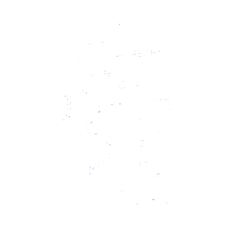 N#Cc1c(Cl)ccc2c1N(CC1CCCO1)C(=O)C1C(c3nc(-c4ccc(F)cc4F)no3)N=CN21